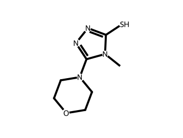 Cn1c(S)nnc1N1CCOCC1